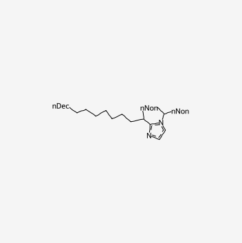 CCCCCCCCCCCCCCCCCC(CCCCCCCCC)c1nccn1C(C)CCCCCCCCC